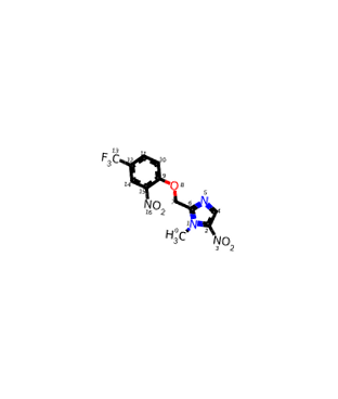 Cn1c([N+](=O)[O-])cnc1COc1ccc(C(F)(F)F)cc1[N+](=O)[O-]